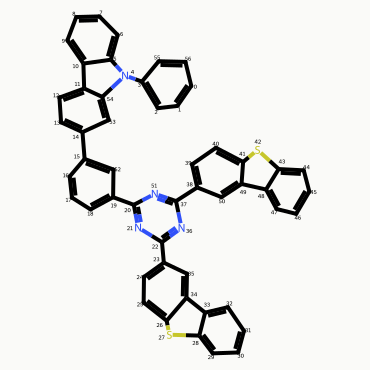 c1ccc(-n2c3ccccc3c3ccc(-c4cccc(-c5nc(-c6ccc7sc8ccccc8c7c6)nc(-c6ccc7sc8ccccc8c7c6)n5)c4)cc32)cc1